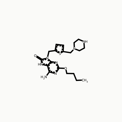 CCCCOc1nc(N)c2[nH]c(=O)n(Cc3ccc(CN4CCNCC4)s3)c2n1